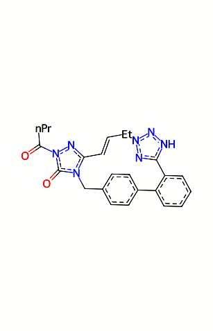 CCC=Cc1nn(C(=O)CCC)c(=O)n1Cc1ccc(-c2ccccc2-c2nnn[nH]2)cc1